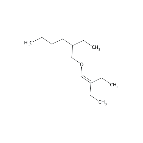 CCCCC(CC)COC=C(CC)CC